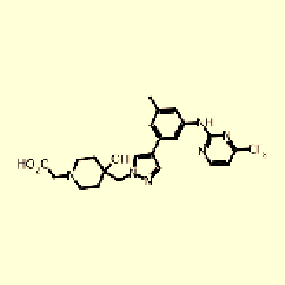 Cc1cc(Nc2nccc(C(F)(F)F)n2)cc(-c2cnn(CC3(O)CCN(CC(=O)O)CC3)c2)c1